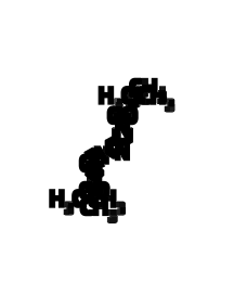 CC(C)(C)OC(=O)N1CC2(C1)CN(c1cnc3c(c1)CN(C(=O)OCC[Si](C)(C)C)CC3)CCO2